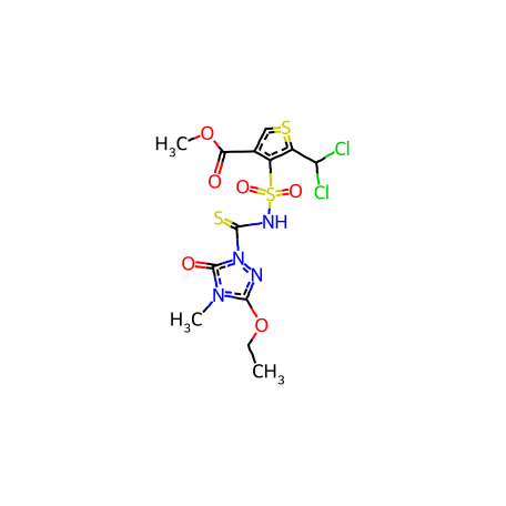 CCOc1nn(C(=S)NS(=O)(=O)c2c(C(=O)OC)csc2C(Cl)Cl)c(=O)n1C